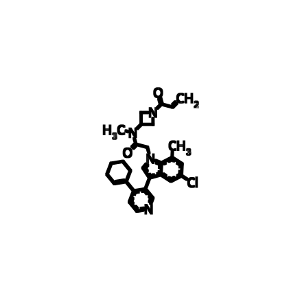 C=CC(=O)N1CC(N(C)C(=O)Cn2cc(-c3cnccc3C3=CCCCC3)c3cc(Cl)cc(C)c32)C1